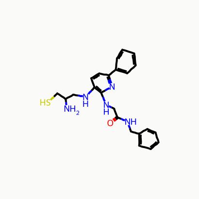 NC(CS)CNc1ccc(-c2ccccc2)nc1NCC(=O)NCc1ccccc1